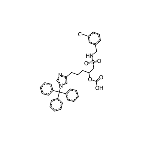 O=C(O)OC(CCCc1cn(C(c2ccccc2)(c2ccccc2)c2ccccc2)cn1)CS(=O)(=O)NCc1cccc(Cl)c1